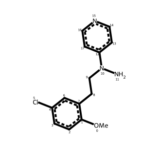 COc1ccc(Cl)cc1CCN(N)c1ccncc1